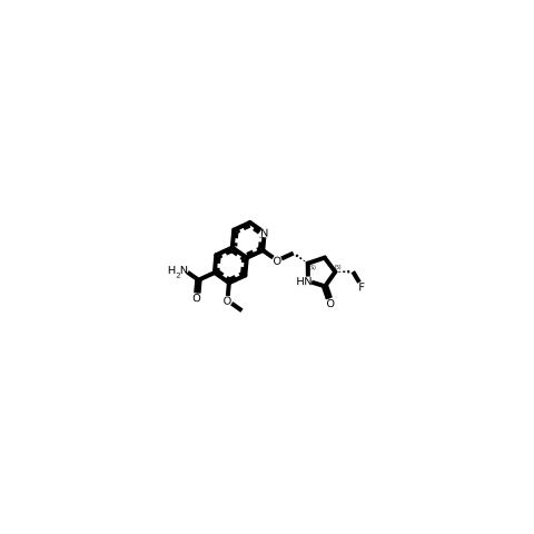 COc1cc2c(OC[C@@H]3C[C@H](CF)C(=O)N3)nccc2cc1C(N)=O